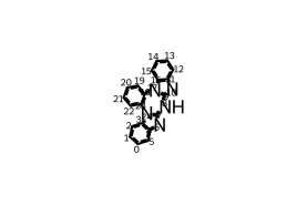 c1ccc2c(c1)nc1[nH]c3nc4ccccc4n3c3ccccc3n12